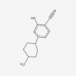 CC1CCC(c2ccc(C#N)c(O)c2)CC1